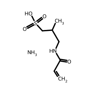 C=CC(=O)NCC(C)CS(=O)(=O)O.N